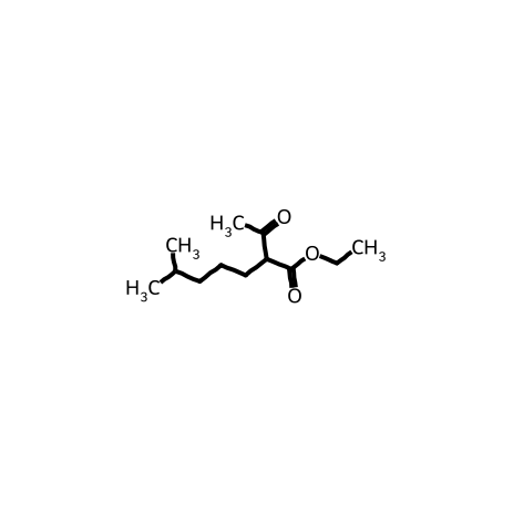 CCOC(=O)C(CCCC(C)C)C(C)=O